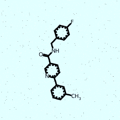 Cc1cccc(-c2ccc(C(=O)NCc3ccc(F)cc3)cn2)c1